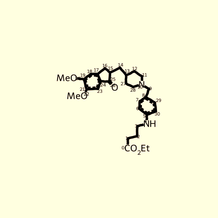 CCOC(=O)CCCNc1ccc(CN2CCC(CC3Cc4cc(OC)c(OC)cc4C3=O)CC2)cc1